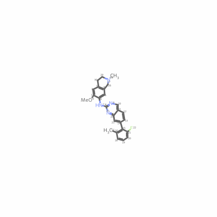 COc1cc2c(cc1Nc1ncc3ccc(-c4c(C)cccc4F)cc3n1)CN(C)CC2